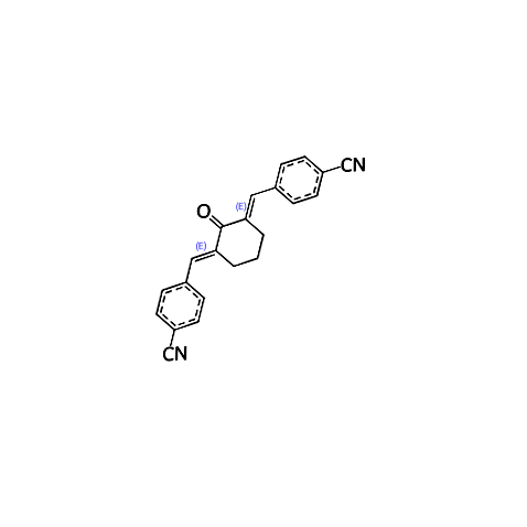 N#Cc1ccc(/C=C2\CCC/C(=C\c3ccc(C#N)cc3)C2=O)cc1